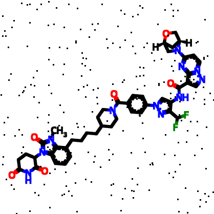 Cn1c(=O)n(C2CCC(=O)NC2=O)c2cccc(CCCCC3CCN(C(=O)c4ccc(-n5cc(NC(=O)c6cnn7ccc(N8C[C@H]9C[C@@H]8CO9)nc67)c(C(F)F)n5)cc4)CC3)c21